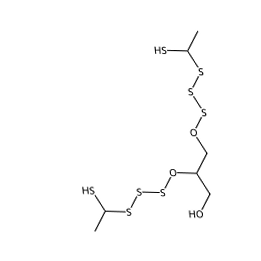 CC(S)SSSOCC(CO)OSSSC(C)S